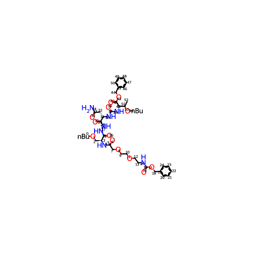 CCCCOC[C@H](NC(=O)COCCOCCNC(=O)OCc1ccccc1)C(=O)NNC(=O)[C@H](CC(N)=O)NC(=O)N[C@H](C(=O)OCc1ccccc1)C(C)OCCCC